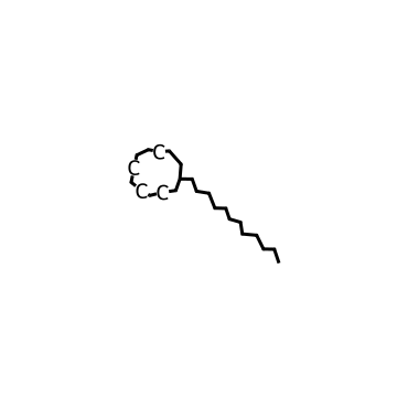 CCCCCCCCCCCCC1CCCCCCCCCCC1